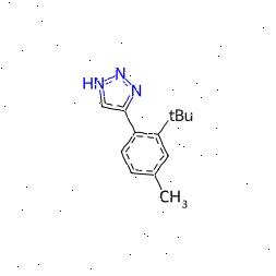 Cc1ccc(-c2c[nH]nn2)c(C(C)(C)C)c1